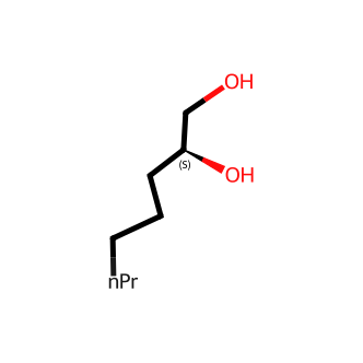 CCCCCC[C@H](O)CO